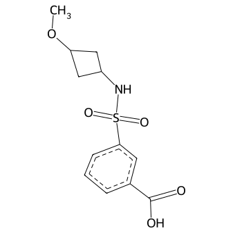 COC1CC(NS(=O)(=O)c2cccc(C(=O)O)c2)C1